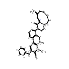 C=C1/C=C2/C(=O)N(c3nccc(-c4cc(Nc5ccncn5)c(=O)n(C)c4)c3COC(C)=O)CCN2CCCCC1